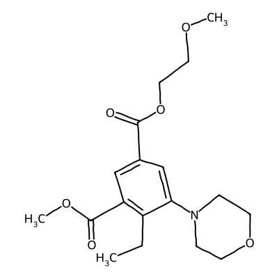 CCc1c(C(=O)OC)cc(C(=O)OCCOC)cc1N1CCOCC1